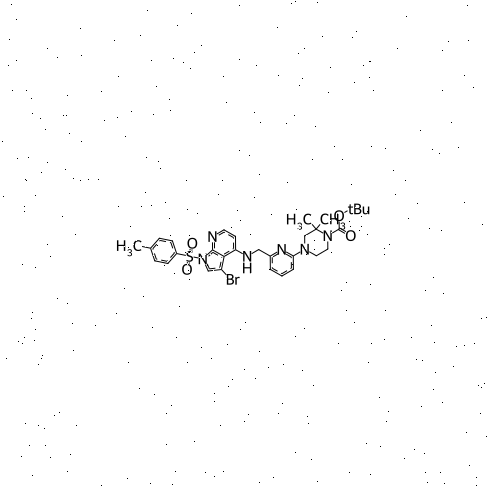 Cc1ccc(S(=O)(=O)n2cc(Br)c3c(NCc4cccc(N5CCN(C(=O)OC(C)(C)C)C(C)(C)C5)n4)ccnc32)cc1